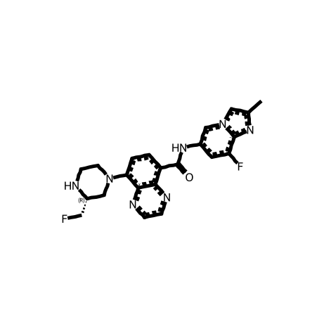 Cc1cn2cc(NC(=O)c3ccc(N4CCN[C@@H](CF)C4)c4nccnc34)cc(F)c2n1